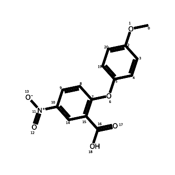 COc1ccc(Oc2ccc([N+](=O)[O-])cc2C(=O)O)cc1